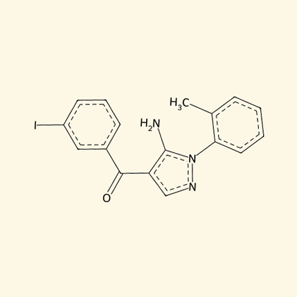 Cc1ccccc1-n1ncc(C(=O)c2cccc(I)c2)c1N